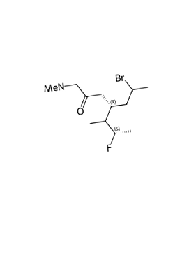 CNCC(=O)C[C@H](CC(C)Br)C(C)[C@H](C)F